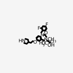 CC(C)(C(=O)O)N1CC(=O)N(Cc2ccc(F)cc2F)c2ccc(OCCC3CCNCC3)cc2C1=O